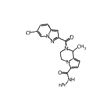 CCCNC(=O)c1ccc2n1CCN(C(=O)c1cc3ccc(Cl)cn3n1)C2C